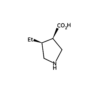 CC[C@@H]1CNC[C@@H]1C(=O)O